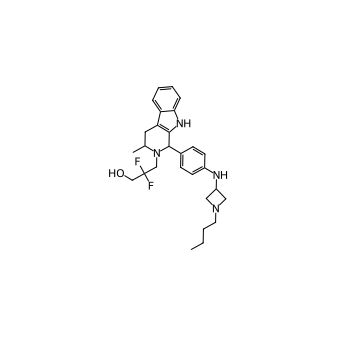 CCCCN1CC(Nc2ccc(C3c4[nH]c5ccccc5c4CC(C)N3CC(F)(F)CO)cc2)C1